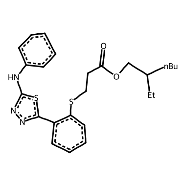 CCCCC(CC)COC(=O)CCSc1ccccc1-c1nnc(Nc2ccccc2)s1